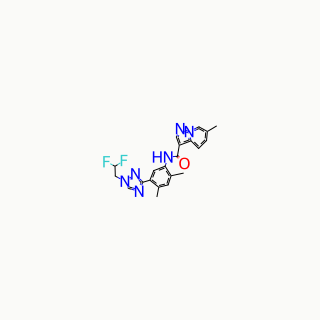 Cc1ccc2c(C(=O)Nc3cc(-c4ncn(CC(F)F)n4)c(C)cc3C)cnn2c1